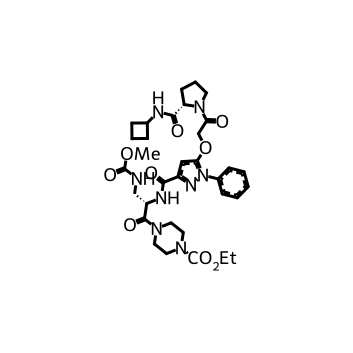 CCOC(=O)N1CCN(C(=O)[C@H](CNC(=O)OC)NC(=O)c2cc(OCC(=O)N3CCC[C@H]3C(=O)NC3CCC3)n(-c3ccccc3)n2)CC1